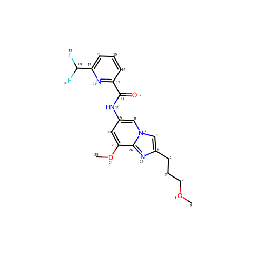 COCCCc1cn2cc(NC(=O)c3cccc(C(F)F)n3)cc(OC)c2n1